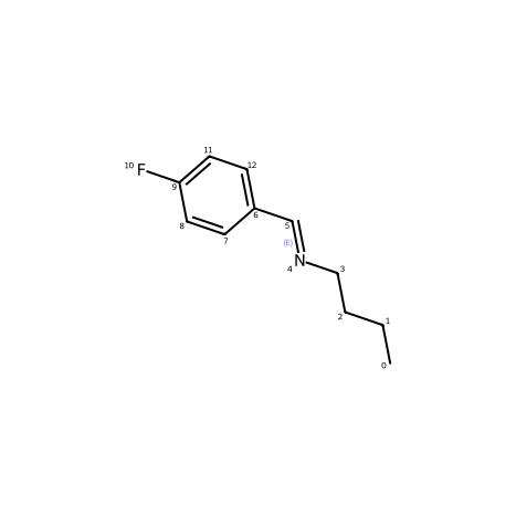 CCCC/N=C/c1ccc(F)cc1